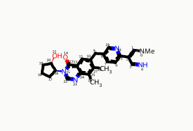 CN/C=C(\C=N)c1ccc(Cc2cc3c(=O)n([C@H]4CCC[C@@H]4O)cnc3c(C)c2C)cn1